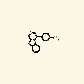 FC(F)(F)c1ccc(-c2cncc3[nH]c4ccccc4c23)cc1